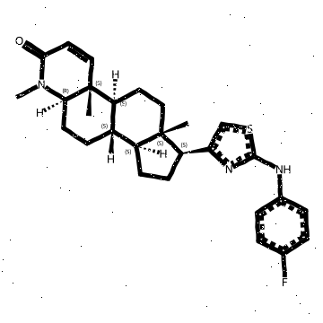 CN1C(=O)C=C[C@]2(C)[C@H]3CC[C@]4(C)[C@@H](c5csc(Nc6ccc(F)cc6)n5)CC[C@H]4[C@@H]3CC[C@@H]12